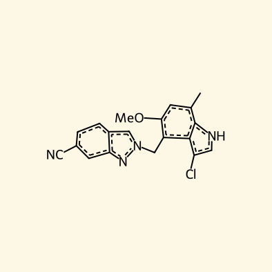 COc1cc(C)c2[nH]cc(Cl)c2c1Cn1cc2ccc(C#N)cc2n1